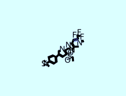 C=N/C(=C\c1nc(-c2ncc(-c3ccc([Si](C)(C)C)cc3)cc2S(=O)(=O)CC)n(C)c1C)C(F)(F)F